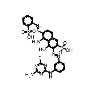 Nc1nc(Cl)nc(Nc2cccc(/N=N/c3c(S(=O)(=O)O)cc4ccc(/N=N/c5ccccc5S(=O)(=O)O)c(N)c4c3O)c2)n1